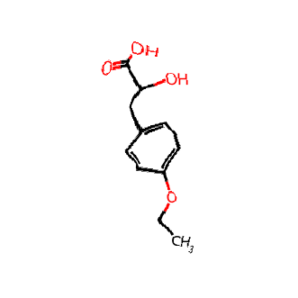 CCOc1ccc(CC(O)C(=O)O)cc1